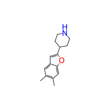 Cc1cc2cc(C3CCNCC3)oc2cc1C